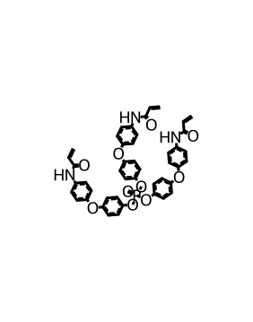 C=CC(=O)Nc1ccc(Oc2ccc(OP(=O)(Oc3ccc(Oc4ccc(NC(=O)C=C)cc4)cc3)Oc3ccc(Oc4ccc(NC(=O)C=C)cc4)cc3)cc2)cc1